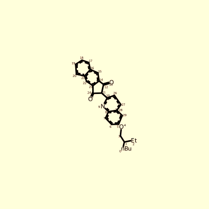 CCCCC(CC)COc1ccc2nc(C3C(=O)c4cc5ccccc5cc4C3=O)ccc2c1